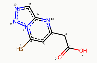 O=C(O)Cc1cc(S)n2nncc2n1